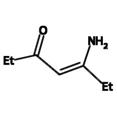 CCC(=O)C=C(N)CC